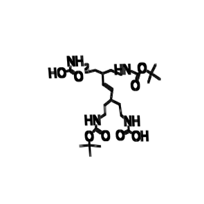 CCC(C=CC(CCNC(=O)O)CCNC(=O)OC(C)(C)C)CCNC(=O)OC(C)(C)C.NC(=O)O